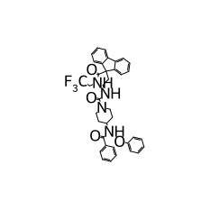 O=C(NC1CCN(C(=O)NCCC2(C(=O)NCC(F)(F)F)c3ccccc3-c3ccccc32)CC1)c1ccccc1Oc1ccccc1